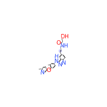 Cc1ccc(Oc2ccc(Nc3ncnc4ccc(/C=C/CNC(=O)CCO)cc34)cc2C)cn1